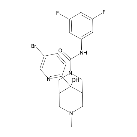 CN1CC2CN(C(=O)Nc3cc(F)cc(F)c3)CC(C1)C2(O)c1ccc(Br)cn1